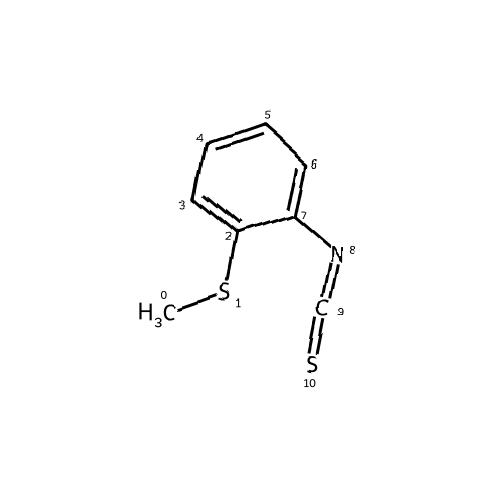 CSc1ccccc1N=C=S